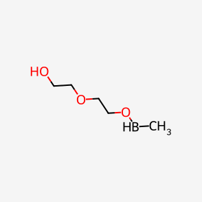 CBOCCOCCO